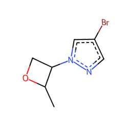 CC1OCC1n1cc(Br)cn1